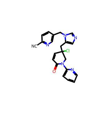 N#Cc1ccc(Cn2cncc2CC2(Cl)C=CC(=O)N(c3ccccn3)C2)cn1